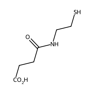 O=C(O)CCC(=O)NCCS